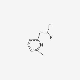 [CH2]c1cccc(C=C(F)F)n1